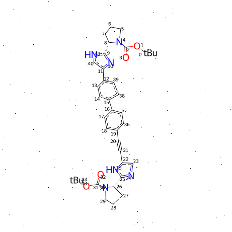 CC(C)(C)OC(=O)N1CCC[C@H]1c1nc(-c2ccc(-c3ccc(C#Cc4cnc([C@@H]5CCCN5C(=O)OC(C)(C)C)[nH]4)cc3)cc2)c[nH]1